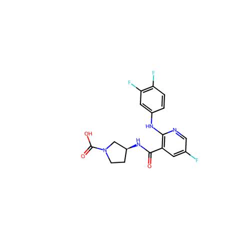 O=C(N[C@H]1CCN(C(=O)O)C1)c1cc(F)cnc1Nc1ccc(F)c(F)c1